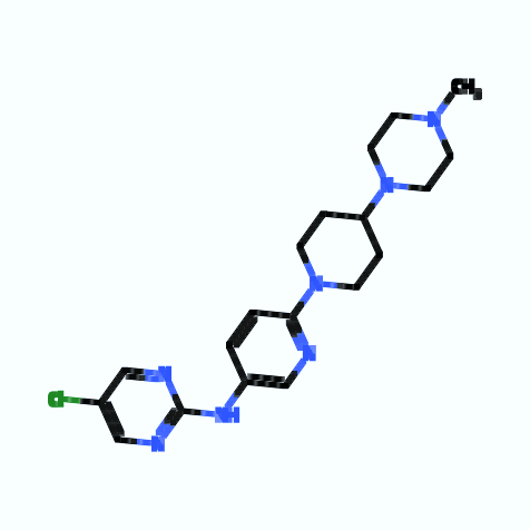 CN1CCN(C2CCN(c3ccc(Nc4ncc(Cl)cn4)cn3)CC2)CC1